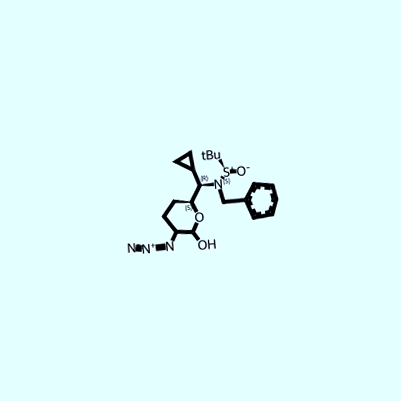 CC(C)(C)[S@@+]([O-])N(Cc1ccccc1)[C@H](C1CC1)[C@@H]1CCC(N=[N+]=[N-])C(O)O1